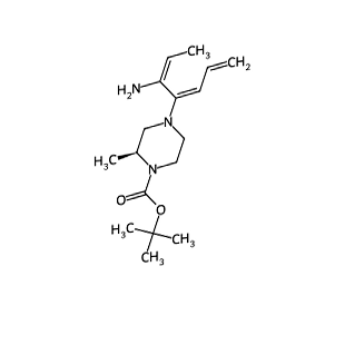 C=C/C=C(\C(N)=C/C)N1CCN(C(=O)OC(C)(C)C)[C@@H](C)C1